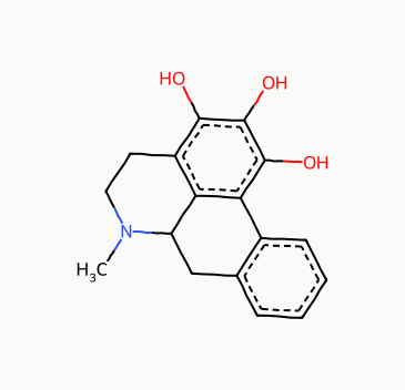 CN1CCc2c(O)c(O)c(O)c3c2C1Cc1ccccc1-3